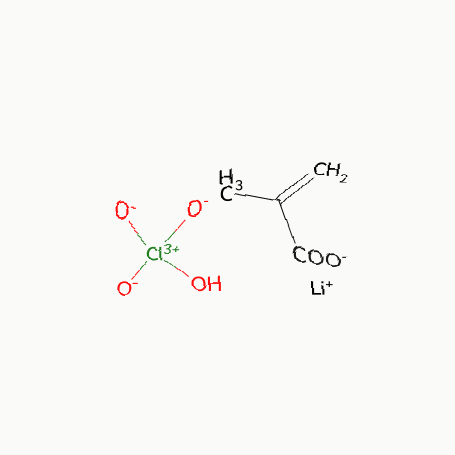 C=C(C)C(=O)[O-].[Li+].[O-][Cl+3]([O-])([O-])O